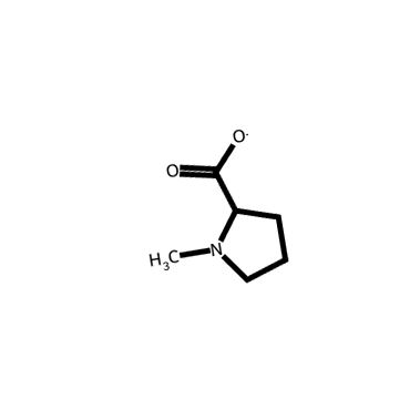 CN1CCCC1C([O])=O